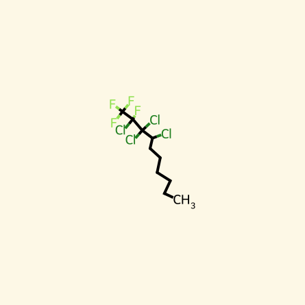 CCCCCCC(Cl)C(Cl)(Cl)C(F)(Cl)C(F)(F)F